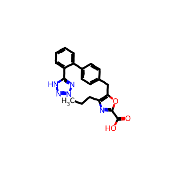 CCCc1nc(C(=O)O)oc1Cc1ccc(-c2ccccc2-c2nnn[nH]2)cc1